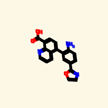 Nc1ccc(-c2ncco2)cc1-c1ccc(C(=O)O)c2ncccc12